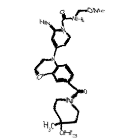 COCNC(=O)n1ccc(N2CCOc3cc(C(=O)N4CCC(C)(C)CC4)ccc32)cc1=N